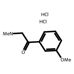 CNCC(=O)c1cccc(OC)c1.Cl.Cl